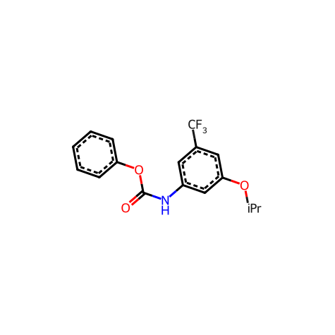 CC(C)Oc1cc(NC(=O)Oc2ccccc2)cc(C(F)(F)F)c1